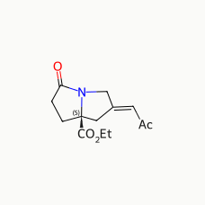 CCOC(=O)[C@@]12CCC(=O)N1CC(=CC(C)=O)C2